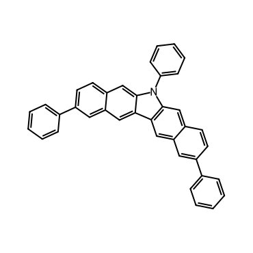 c1ccc(-c2ccc3cc4c(cc3c2)c2cc3cc(-c5ccccc5)ccc3cc2n4-c2ccccc2)cc1